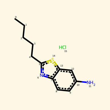 CCCCCc1nc2ccc(N)cc2s1.Cl